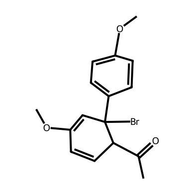 COC1=CC(Br)(c2ccc(OC)cc2)C(C(C)=O)C=C1